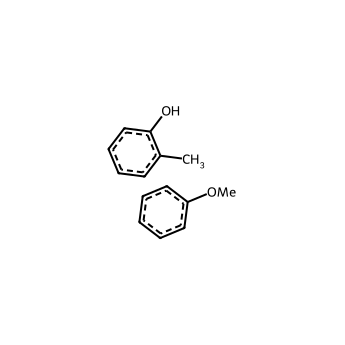 COc1ccccc1.Cc1ccccc1O